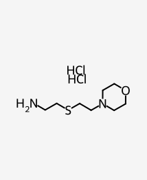 Cl.Cl.NCCSCCN1CCOCC1